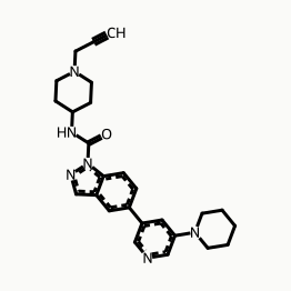 C#CCN1CCC(NC(=O)n2ncc3cc(-c4cncc(N5CCCCC5)c4)ccc32)CC1